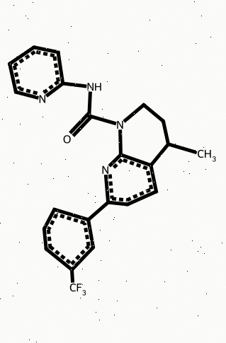 CC1CCN(C(=O)Nc2ccccn2)c2nc(-c3cccc(C(F)(F)F)c3)ccc21